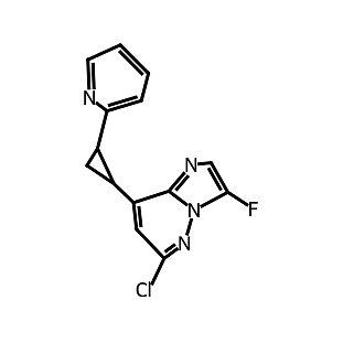 Fc1cnc2c(C3CC3c3ccccn3)cc(Cl)nn12